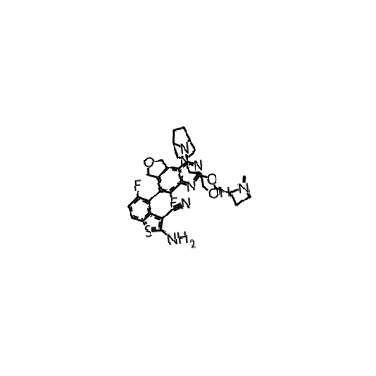 CN1CC[C@H]1COc1nc(N2C3CCC2CN(CCCO)C3)c2c3c(c(-c4c(F)ccc5sc(N)c(C#N)c45)c(F)c2n1)COC3